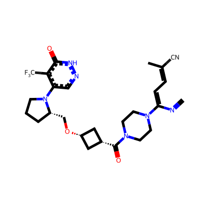 C=N/C(=C\C=C(/C)C#N)N1CCN(C(=O)[C@H]2C[C@@H](OC[C@@H]3CCCN3c3cn[nH]c(=O)c3C(F)(F)F)C2)CC1